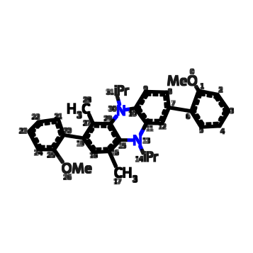 COc1ccccc1-c1ccc2c(c1)N(C(C)C)c1c(C)cc(-c3ccccc3OC)c(C)c1N2C(C)C